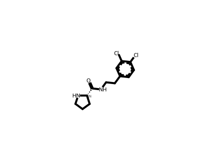 O=C(NCCc1ccc(Cl)c(Cl)c1)[C@@H]1CCCN1